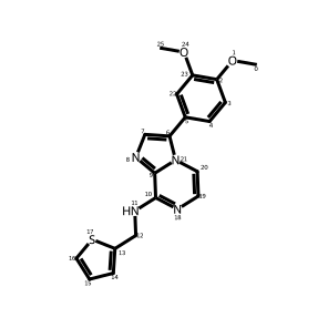 COc1ccc(-c2cnc3c(NCc4cccs4)nccn23)cc1OC